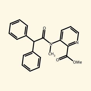 COC(=O)c1ncccc1N(C)C(=O)C(c1ccccc1)c1ccccc1